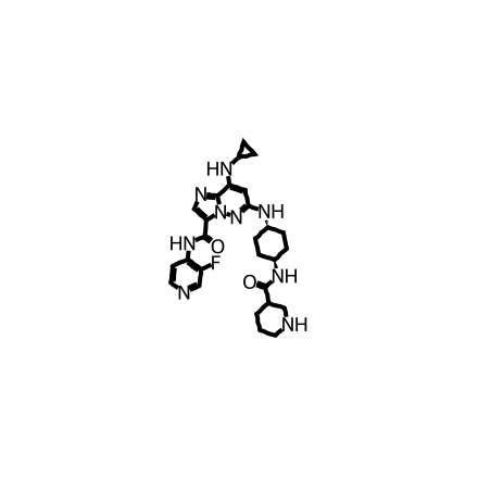 O=C(Nc1ccncc1F)c1cnc2c(NC3CC3)cc(N[C@H]3CC[C@H](NC(=O)C4CCCNC4)CC3)nn12